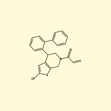 C=CC(=O)N1Cc2sc(Cl)cc2C(c2ccccc2-c2ccccc2)C1